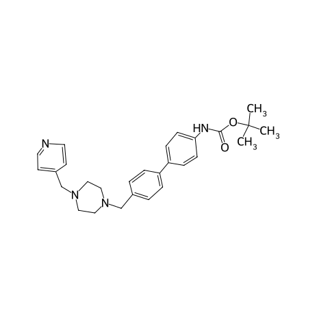 CC(C)(C)OC(=O)Nc1ccc(-c2ccc(CN3CCN(Cc4ccncc4)CC3)cc2)cc1